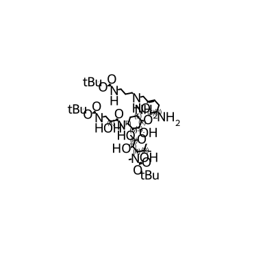 CN(C(=O)OC(C)(C)C)[C@@H]1[C@@H](O)[C@@H](O[C@@H]2[C@@H](O)[C@H](O[C@H]3OC(CNCCCNC(=O)OC(C)(C)C)=CC[C@H]3N)[C@@H](N)C[C@H]2NC(=O)[C@H](O)CNC(=O)OC(C)(C)C)OC[C@]1(C)O